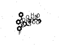 CON=C(C(=O)NC1C(=O)N2C(C(=O)OC(c3ccccc3)c3ccccc3)=C(COc3cccc(F)c3)CS[C@@H]12)c1ccco1